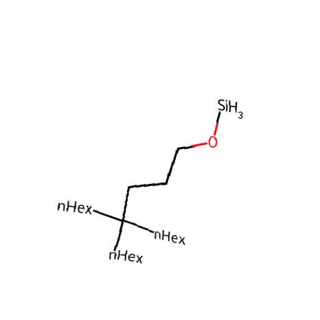 CCCCCCC(CCCCCC)(CCCCCC)CCCO[SiH3]